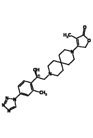 CC1=C(N2CCC3(CCN(C[C@H](O)c4ccc(-n5cnnn5)cc4C)CC3)CC2)COC1=O